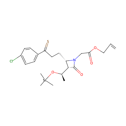 C=CCOC(=O)CN1C(=O)[C@H]([C@@H](C)O[Si](C)(C)C)[C@@H]1CCC(=S)c1ccc(Cl)cc1